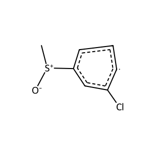 C[S+]([O-])c1cc[c]c(Cl)c1